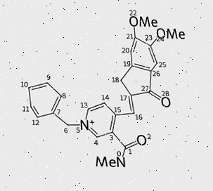 CNC(=O)c1c[n+](Cc2ccccc2)ccc1/C=C1\Cc2cc(OC)c(OC)cc2C1=O